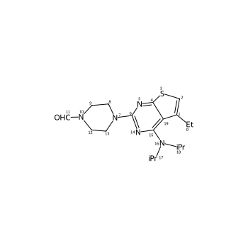 CCc1csc2nc(N3CCN(C=O)CC3)nc(N(C(C)C)C(C)C)c12